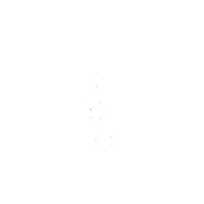 Cc1ccc(-c2cn3cc(N(C)CC4CCOCC4)ccc3n2)cc1